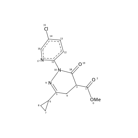 COC(=O)C1CC(C2CC2)=NN(c2ccc(Cl)cn2)C1=O